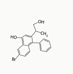 CC(CO)c1cc(O)c2cc(Br)ccc2c1-c1ccccc1